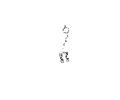 Cc1ccc(CCCCCCC(N=C=O)N=C=O)cc1